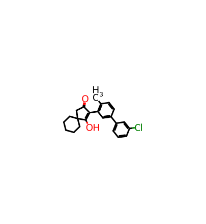 Cc1ccc(-c2cccc(Cl)c2)cc1C1=C(O)C2(CCCCC2)CC1=O